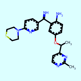 Cc1nccc(C(C)Oc2ccc(N)c(C(=N)c3ccc(N4CCSCC4)nc3)c2)n1